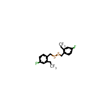 Fc1ccc(CSSCc2ccc(F)cc2CC(F)(F)F)c(CC(F)(F)F)c1